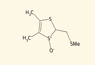 CSCC1SC(C)=C(C)[S+]1[O-]